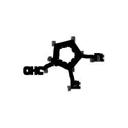 CCc1ccn(C=O)c1CC